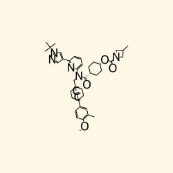 COc1ccc(C23CCC(CN(c4cccc(-c5cnn(C(C)(C)C)c5)n4)C(=O)[C@H]4CC[C@H](OC(=O)N5CC(C)C5)CC4)(CC2)CC3)cc1C